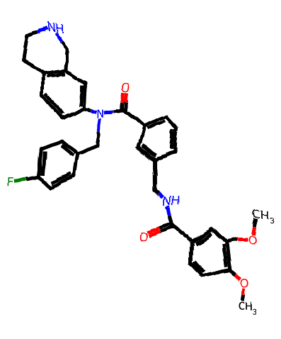 COc1ccc(C(=O)NCc2cccc(C(=O)N(Cc3ccc(F)cc3)c3ccc4c(c3)CNCC4)c2)cc1OC